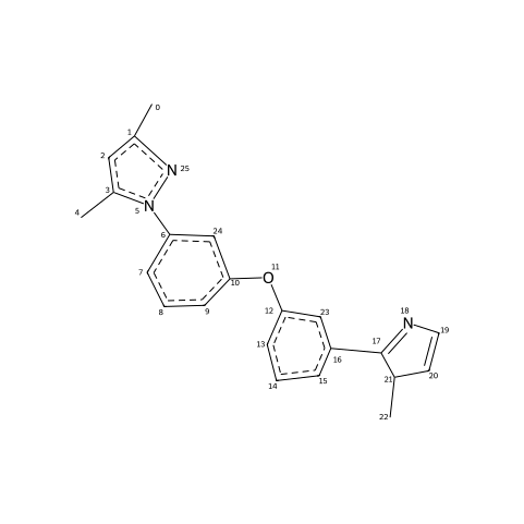 Cc1cc(C)n(-c2cccc(Oc3cccc(C4=NC=CC4C)c3)c2)n1